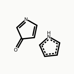 O=C1C=CN=C1.c1cc[nH]c1